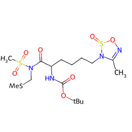 CSCN(C(=O)C(CCCCN1C(C)=NOS1=O)NC(=O)OC(C)(C)C)S(C)(=O)=O